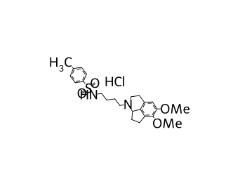 COc1cc2c3c(c1OC)CCC3N(CCCCNS(=O)(=O)c1ccc(C)cc1)CC2.Cl